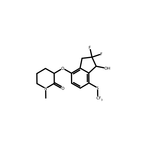 CN1CCCC(Oc2ccc(SC(F)(F)F)c3c2CC(F)(F)C3O)C1=O